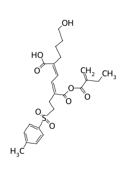 C=C(CC)C(=O)OC(=O)C(=CC=C(CCCCO)C(=O)O)CCS(=O)(=O)c1ccc(C)cc1